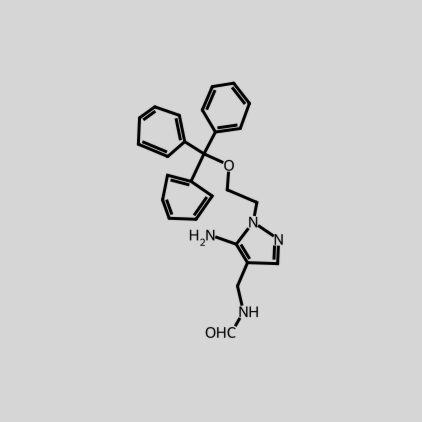 Nc1c(CNC=O)cnn1CCOC(c1ccccc1)(c1ccccc1)c1ccccc1